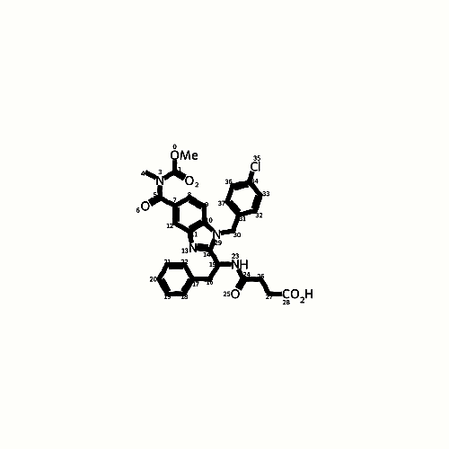 COC(=O)N(C)C(=O)c1ccc2c(c1)nc(C(Cc1ccccc1)NC(=O)CCC(=O)O)n2Cc1ccc(Cl)cc1